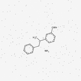 COc1cccc(C(C)Cc2ccccc2)c1.N